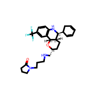 O=C1CCCN1CCCNC[C@H]1CC[C@@H]2[C@H](O1)c1cc(C(F)(F)F)ccc1N[C@H]2C1C=CC=CC1